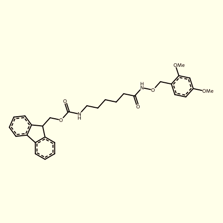 COc1ccc(CONC(=O)CCCCCNC(=O)OCC2c3ccccc3-c3ccccc32)c(OC)c1